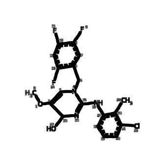 COC1=CN(Cc2cc(F)c(F)cc2F)C(Nc2cccc(Cl)c2C)=NC1O